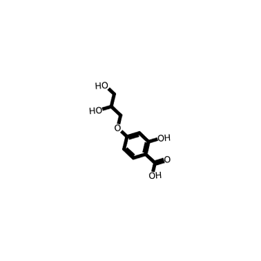 O=C(O)c1ccc(OCC(O)CO)cc1O